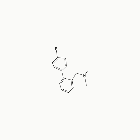 CN(C)Cc1ccccc1-c1ccc(F)cc1